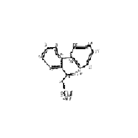 O=C(CS)c1ccccc1-c1ccccc1